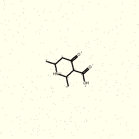 CC1CC(=O)C(C(=O)O)C(C)N1